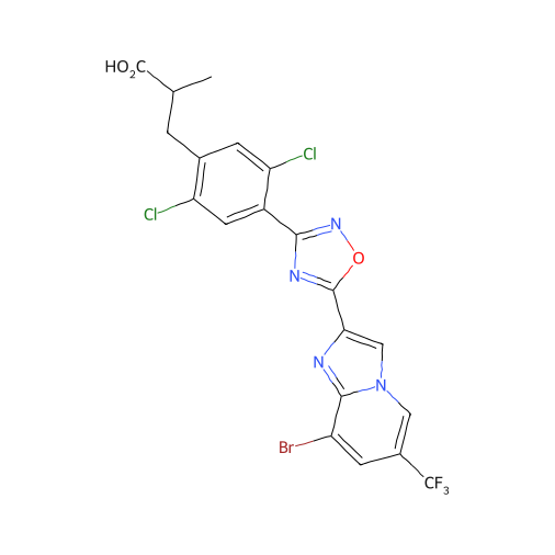 CC(Cc1cc(Cl)c(-c2noc(-c3cn4cc(C(F)(F)F)cc(Br)c4n3)n2)cc1Cl)C(=O)O